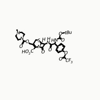 CN1CCN(C(=O)OCC2=C(C(=O)O)N3C(=O)C(NC(=O)C(NC(=O)OC(C)(C)C)c4ccc(OC(=O)C(F)(F)F)cc4)[C@@H]3SC2)CC1